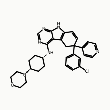 Clc1cccc(C2(c3ccncc3)C=Cc3[nH]c4ncnc(N[C@H]5CC[C@H](N6CCOCC6)CC5)c4c3C2)c1